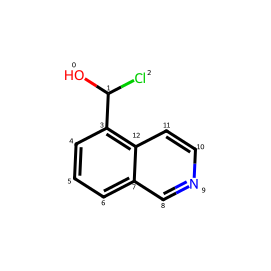 OC(Cl)c1cccc2cnccc12